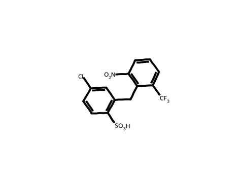 O=[N+]([O-])c1cccc(C(F)(F)F)c1Cc1cc(Cl)ccc1S(=O)(=O)O